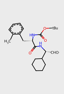 Cc1ccccc1C[C@H](NC(=O)OC(C)(C)C)C(=O)N[C@H]([C]=O)C1CCCCC1